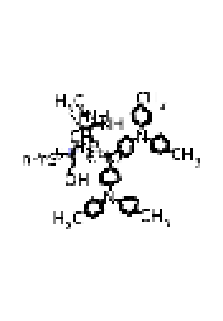 CCC(c1ccc(N(c2ccc(C)cc2)c2ccc(C)cc2)cc1)c1ccc(N(c2ccc(C)cc2)c2ccc(C)cc2)cc1.CCCSS/C(CCO)=C(\C)N(C=O)Cc1cnc(C)[nH]c1=N